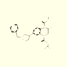 COC(=O)N1c2ccc(C3CNN(Cc4ccncc4)C3)cc2N(C(=O)OC(C)C)C[C@@H]1C